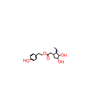 C/C=C1\C(CC(=O)OCCc2ccc(O)cc2)CC(O)C1O